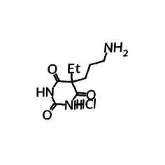 CCC1(CCCN)C(=O)NC(=O)NC1=O.Cl